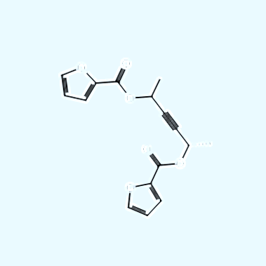 CC(C#C[C@H](C)OC(=O)c1ccco1)OC(=O)c1ccco1